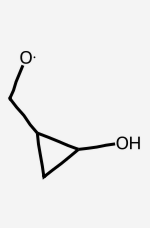 [O]CC1CC1O